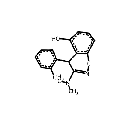 CN(C)C1=NCc2cccc(O)c2C1c1ccccc1Cl